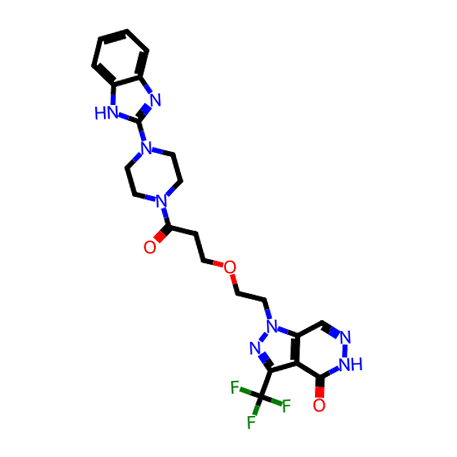 O=C(CCOCCn1nc(C(F)(F)F)c2c(=O)[nH]ncc21)N1CCN(c2nc3ccccc3[nH]2)CC1